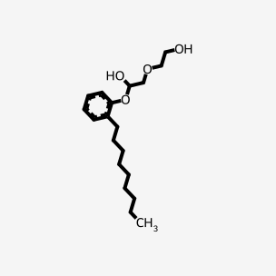 CCCCCCCCCc1ccccc1OC(O)COCCO